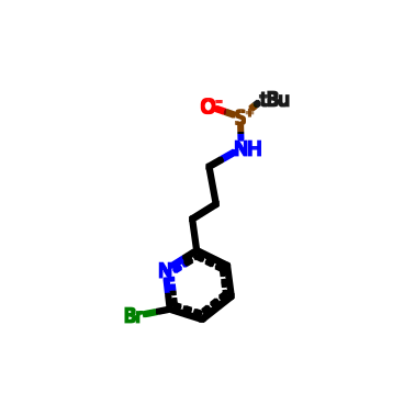 CC(C)(C)[S+]([O-])NCCCc1cccc(Br)n1